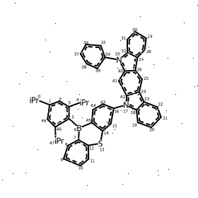 CC(C)c1cc(C(C)C)c(B2c3ccccc3Sc3cc(-n4c5ccccc5c5cc6c7ccccc7n(-c7ccccc7)c6cc54)ccc32)c(C(C)C)c1